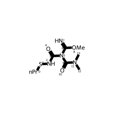 CCCSNC(=O)N(C(=N)OC)C(=O)N(C)C